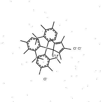 CC1=C(C)[C]([Ti+3])([Si](c2ccc(C)c(C)c2N(C)C)(c2ccc(C)c(C)c2N(C)C)c2ccc(C)c(C)c2N(C)C)C(C)=C1C.[Cl-].[Cl-].[Cl-]